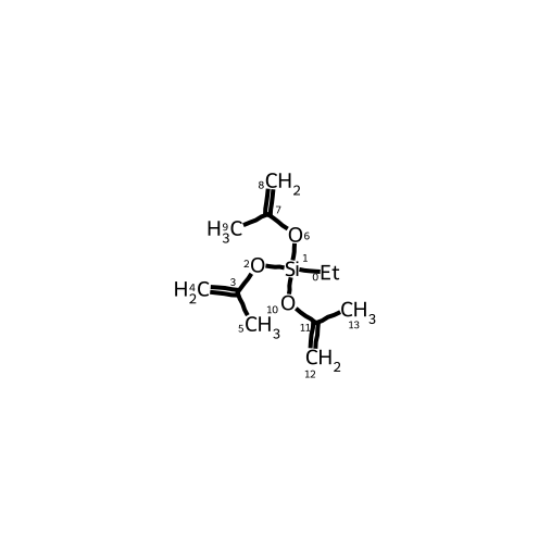 [CH2]C[Si](OC(=C)C)(OC(=C)C)OC(=C)C